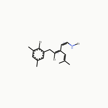 CCN/C=C\C(C=C(C)C)=C(\CC)Cc1cc(C)cc(C)c1CC